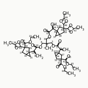 C=C(C(=O)OCC(C)(COC(=O)C(=C)C12CC1CC(C(=O)OCC)(C1OC(C)O1)C2)COC(=O)C(=C)C12CC1CC(C1OC(C)O1)(C1OC(C)O1)C2)C12CC1CC(C(=O)OCC)(C(=O)OCC)C2